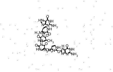 Cc1c[nH]c(=O)[nH]c1=O.Cc1c[nH]c(=O)[nH]c1=O.Nc1cc[nH]c(=O)n1.Nc1cc[nH]c(=O)n1.Nc1nc2nc[nH]c2c(=O)[nH]1.Nc1nc2nc[nH]c2c(=O)[nH]1